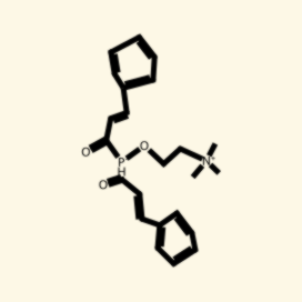 C[N+](C)(C)CCO[PH-](C(=O)C=Cc1ccccc1)C(=O)C=Cc1ccccc1